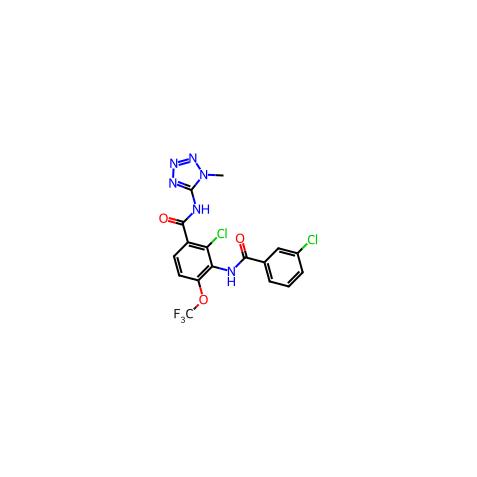 Cn1nnnc1NC(=O)c1ccc(OC(F)(F)F)c(NC(=O)c2cccc(Cl)c2)c1Cl